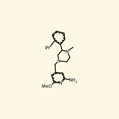 COc1cc(CN2CCN(C)C(c3ccccc3C(C)C)C2)cc(N)n1